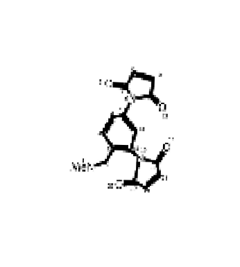 CNCc1ccc(N2C(=O)C=CC2=O)cc1N1C(=O)C=CC1=O